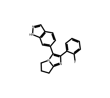 Fc1ccccc1-c1nc2n(c1-c1ccc3cn[nH]c3c1)CCC2